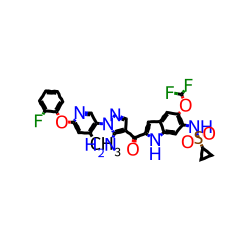 Cc1cc(Oc2ccccc2F)ncc1-n1ncc(C(=O)c2cc3cc(OC(F)F)c(NS(=O)(=O)C4CC4)cc3[nH]2)c1N